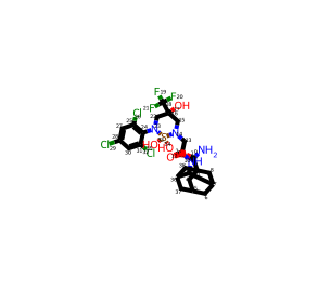 NC(=O)C12CC3CC(C1)C(NC(=O)CN1CC(O)(C(F)(F)F)CN(c4c(Cl)cc(Cl)cc4Cl)S1(O)O)C(C3)C2